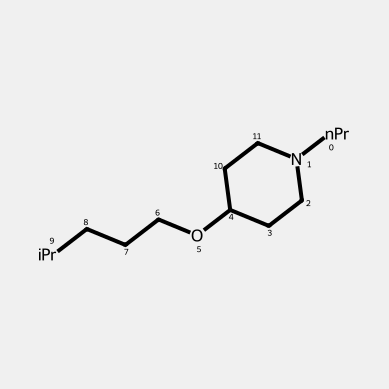 CCCN1CCC(OCCCC(C)C)CC1